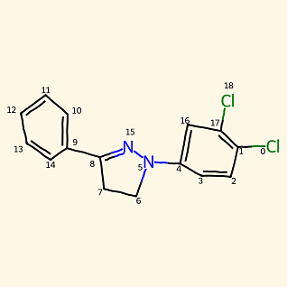 Clc1ccc(N2CCC(c3ccccc3)=N2)cc1Cl